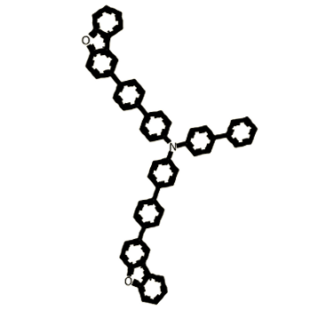 c1ccc(-c2ccc(N(c3ccc(-c4ccc(-c5ccc6oc7ccccc7c6c5)cc4)cc3)c3ccc(-c4ccc(-c5ccc6oc7ccccc7c6c5)cc4)cc3)cc2)cc1